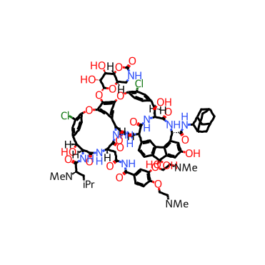 CNCCOc1ccc(C(=O)NC(=O)C[C@@H]2NC(=O)[C@H](NC(=O)[C@@H](CC(C)C)NC)[C@H](O)c3ccc(c(Cl)c3)Oc3cc4cc(c3O[C@@H]3O[C@@H]5CNC(=O)O[C@H]5[C@H](O)[C@H]3O)Oc3ccc(cc3Cl)[C@@H](O)[C@@H]3NC(=O)[C@H](NC(=O)[C@@H]4NC2=O)c2ccc4c(c2)-c2c(cc(O)cc2C4(O)O)[C@@H](C(=O)NC2C4CC5CC(C4)CC2C5)NC3=O)cc1OCCNC